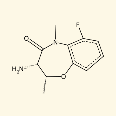 C[C@H]1Oc2cccc(F)c2N(C)C(=O)[C@H]1N